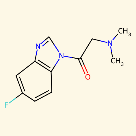 CN(C)CC(=O)n1cnc2cc(F)ccc21